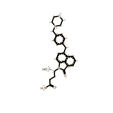 NC(=O)CC[C@H](C(=O)O)N1C(=O)c2cccc3c(Cc4ccc(CN5CCOCC5)cc4)ccc1c23